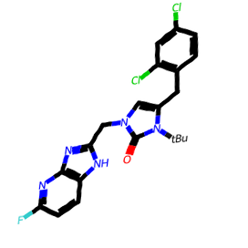 CC(C)(C)n1c(Cc2ccc(Cl)cc2Cl)cn(Cc2nc3nc(F)ccc3[nH]2)c1=O